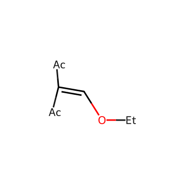 CCOC=C(C(C)=O)C(C)=O